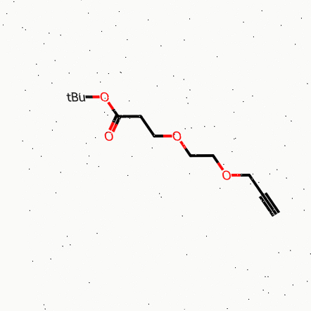 C#CCOCCOCCC(=O)OC(C)(C)C